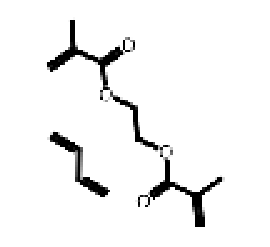 C=C(C)C(=O)OCCOC(=O)C(=C)C.C=CC=C